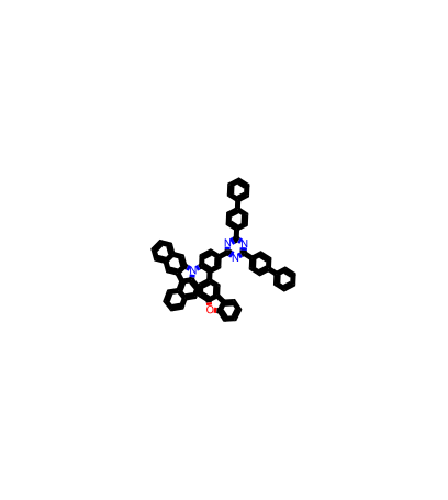 c1ccc(-c2ccc(-c3nc(-c4ccc(-c5ccccc5)cc4)nc(-c4ccc(-n5c6cc7ccccc7cc6c6c7ccccc7ccc65)c(-c5ccc6oc7ccccc7c6c5)c4)n3)cc2)cc1